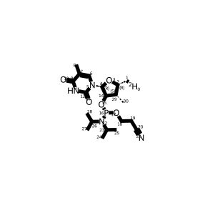 [2H]C[C@H]1O[C@@H](n2cc(C)c(=O)[nH]c2=O)C(OP(OCCC#N)N(C(C)C)C(C)C)[C@H]1C